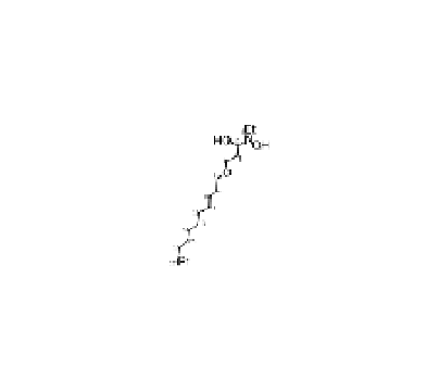 CCN(O)C(O)CCOCCCCCCCCCC(C)C